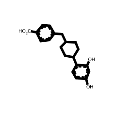 O=C(O)c1ccc(CC2CCC(c3ccc(O)cc3O)CC2)cc1